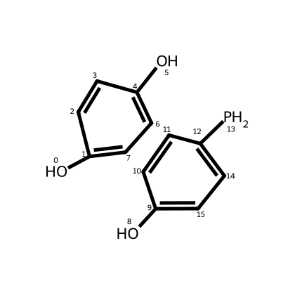 Oc1ccc(O)cc1.Oc1ccc(P)cc1